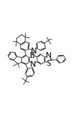 CC(C)(C)c1ccc(N2B3c4cc5nc(-c6ccccc6)sc5cc4-n4c5ccc(C(C)(C)C)cc5c5c6c(c(c3c54)-c3cc4c(cc32)C(C)(C)CCC4(C)C)-c2ccccc2C6(C)C)cc1